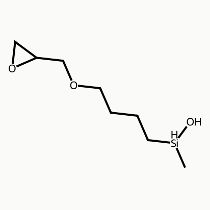 C[SiH](O)CCCCOCC1CO1